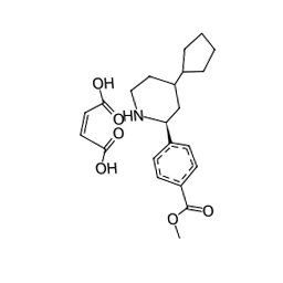 COC(=O)c1ccc([C@@H]2CC(C3CCCC3)CCN2)cc1.O=C(O)/C=C\C(=O)O